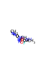 CCN1CCN(c2ccc(Nc3ncnc(Oc4ccc5[nH]c(C)cc5c4F)c3OC)cc2)CC1